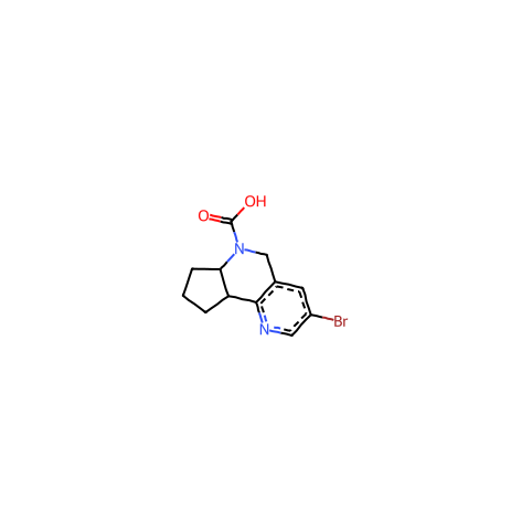 O=C(O)N1Cc2cc(Br)cnc2C2CCCC21